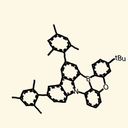 Cc1cc(C)c(-c2ccc3c(c2)c2cc(-c4c(C)cc(C)cc4C)cc4c2n3-c2cccc3c2B4c2ccc(C(C)(C)C)cc2O3)c(C)c1